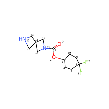 O=C(OC1CCC(F)(F)CC1)N1CC2(CNC2)C1